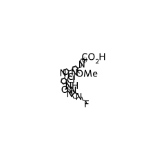 COc1nc(-c2ccnc(-c3cccc(NC(=O)c4nc5c(n4C)CCN(CCCF)C5)c3Cl)c2Cl)ccc1CN1CC[C@](C)(C(=O)O)C1